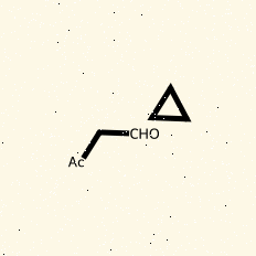 C1CC1.CC(=O)CC=O